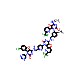 CNc1nc(=O)n(-c2cc(CNc3nc(=O)n(-c4ccc(CNc5nc(=O)n(-c6cncnc6)c6c5oc5ccc(Cl)cc56)nc4)c4c3oc3ccc(C(F)(F)F)nc34)ccc2C)c2c1oc1ccc(C(F)(F)F)nc12